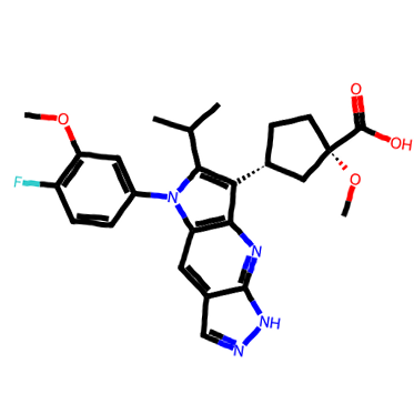 COc1cc(-n2c(C(C)C)c([C@@H]3CC[C@@](OC)(C(=O)O)C3)c3nc4[nH]ncc4cc32)ccc1F